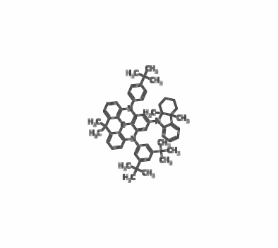 CC(C)(C)c1ccc(N2c3cc(N4c5ccccc5C5(C)CCCCC45C)cc4c3B3c5c2cccc5C(C)(C)c2cccc(c23)N4c2cc(C(C)(C)C)cc(C(C)(C)C)c2)cc1